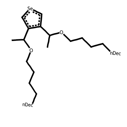 CCCCCCCCCCCCCCOC(C)c1c[se]cc1C(C)OCCCCCCCCCCCCCC